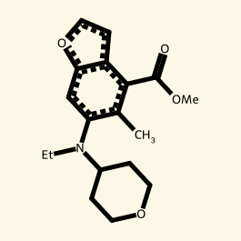 CCN(c1cc2occc2c(C(=O)OC)c1C)C1CCOCC1